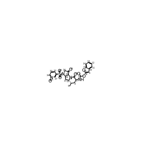 CCCC(NC(=O)Oc1cc2ccccc2o1)C(=O)N1CCC2C1C(=O)CN2S(=O)(=O)c1ccc[n+]([O-])c1